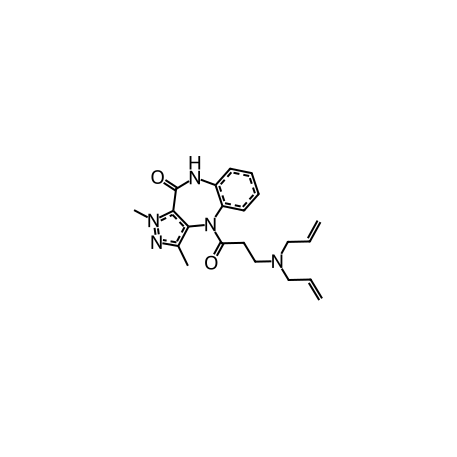 C=CCN(CC=C)CCC(=O)N1c2ccccc2NC(=O)c2c1c(C)nn2C